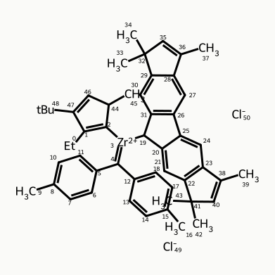 CCC1=[C]([Zr+2](=[C](c2ccc(C)cc2)c2ccc(C)cc2)[CH]2c3cc4c(cc3-c3cc5c(cc32)C(C)(C)C=C5C)C(C)=CC4(C)C)C(C)C=C1C(C)(C)C.[Cl-].[Cl-]